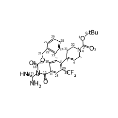 CC(C)(C)OC(=O)N1CC=C(c2ccc(C(=O)N(C(=N)N)C(=O)OCc3ccccc3)cc2C(F)(F)F)CC1